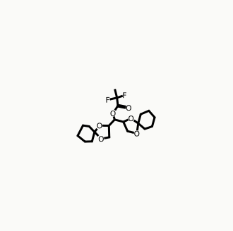 CC(F)(F)C(=O)OC(C1COC2(CCCCC2)O1)C1COC2(CCCCC2)O1